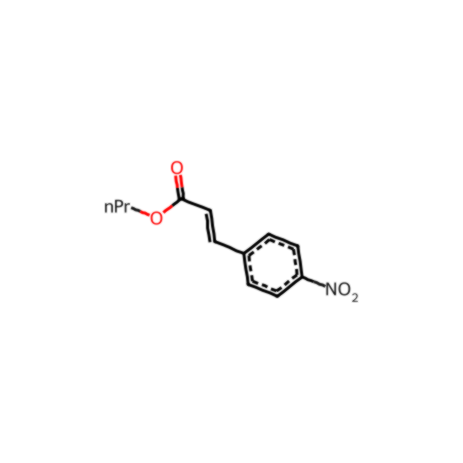 CCCOC(=O)C=Cc1ccc([N+](=O)[O-])cc1